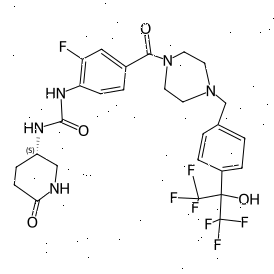 O=C1CC[C@H](NC(=O)Nc2ccc(C(=O)N3CCN(Cc4ccc(C(O)(C(F)(F)F)C(F)(F)F)cc4)CC3)cc2F)CN1